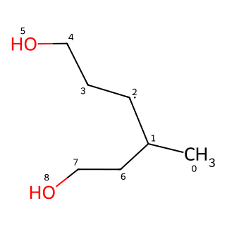 CC([CH]CCO)CCO